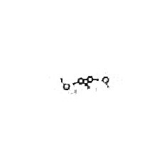 CC(C)CC1(O)c2cc(C#C[C@H]3O[C@H](CO)[C@@H](O)[C@H](O)[C@@H]3O)ccc2-c2ccc(C#C[C@H]3O[C@H](CCO)[C@@H](O)[C@H](O)[C@@H]3O)cc21